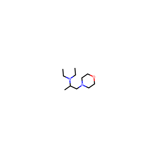 CCN(CC)C(C)CN1CCOCC1